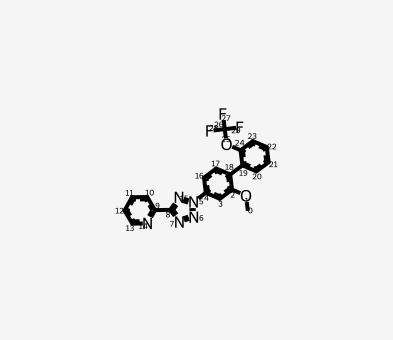 COc1cc(-n2nnc(-c3ccccn3)n2)ccc1-c1ccccc1OC(F)(F)F